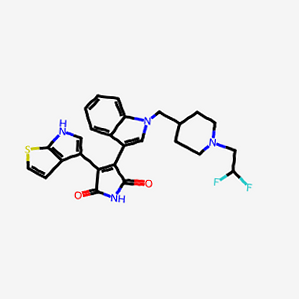 O=C1NC(=O)C(c2cn(CC3CCN(CC(F)F)CC3)c3ccccc23)=C1c1c[nH]c2sccc12